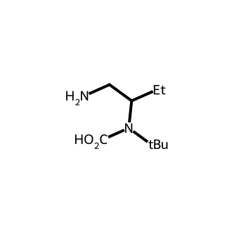 CCC(CN)N(C(=O)O)C(C)(C)C